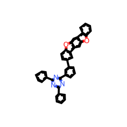 c1ccc(-c2nc(-c3ccccc3)nc(-c3cccc(-c4ccc5oc6cc7c(cc6c5c4)oc4ccccc47)c3)n2)cc1